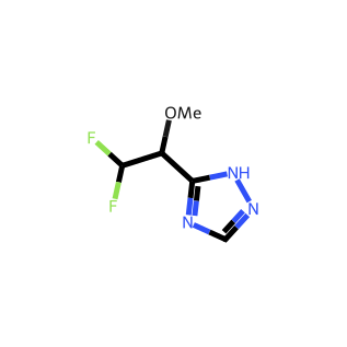 COC(c1ncn[nH]1)C(F)F